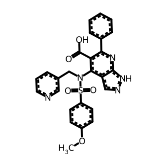 COc1ccc(S(=O)(=O)N(Cc2cccnc2)c2c(C(=O)O)c(-c3ccccc3)nc3[nH]ncc23)cc1